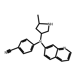 CC1CC(N(c2ccc(C#N)cc2)c2ccc3cccnc3c2)CN1